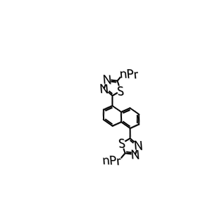 CCCc1nnc(-c2cccc3c(-c4nnc(CCC)s4)cccc23)s1